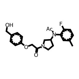 CC(=O)N(c1cc(C)ccc1F)C1CCN(C(=O)COc2ccc(CO)cc2)C1